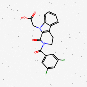 O=C(O)Cn1c2c(c3ccccc31)CCN(C(=O)c1cc(F)cc(F)c1)C2=O